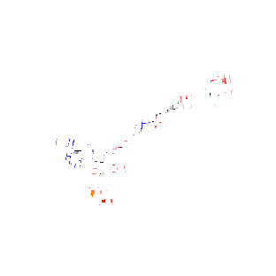 CC(=O)N[C@H]1[C@H](OCCCCC(=O)NCCOCCOCO[C@@H]2[C@H](O)[C@@H](COP(=O)(O)O)O[C@H]2n2cnc3c(N)ncnc32)O[C@H](CO)[C@H](O)[C@@H]1O